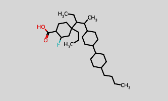 CCCCC1CCC(C2CCC(C(C)C(CC)C3(CCC)CCC(C(=O)O)C(F)C3)CC2)CC1